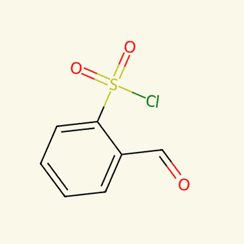 O=Cc1ccccc1S(=O)(=O)Cl